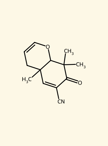 CC12C=C(C#N)C(=O)C(C)(C)C1OC=CC2